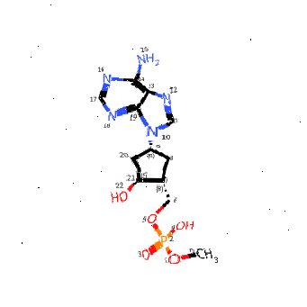 COP(=O)(O)OC[C@H]1C[C@@H](n2cnc3c(N)ncnc32)C[C@@H]1O